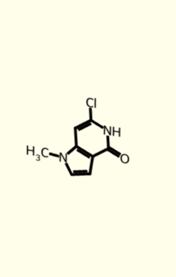 Cn1ccc2c(=O)[nH]c(Cl)cc21